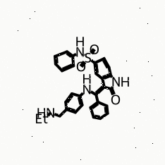 CCNCc1ccc(NC(=C2C(=O)Nc3ccc(S(=O)(=O)Nc4ccccc4)cc32)c2ccccc2)cc1